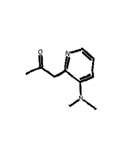 CC(=O)Cc1ncccc1N(C)C